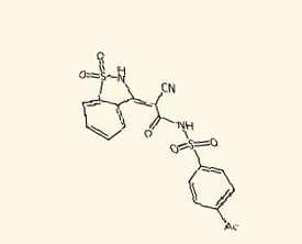 CC(=O)c1ccc(S(=O)(=O)NC(=O)C(C#N)=C2NS(=O)(=O)c3ccccc32)cc1